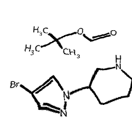 Brc1cnn(C2CCCNC2)c1.CC(C)(C)OC=O